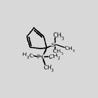 C[Si](C)(C)[C]1([Pt]([CH3])([CH3])[CH3])C=CC=C1